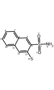 NS(=O)(=O)c1cc2ccccc2cc1[S]